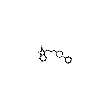 O=c1[se]c2ccccc2n1CCCN1CCN(c2ccccc2)CC1